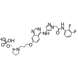 O=C(Cn1cc(Nc2ncnc3cc(OCCCN4CCC[C@@H]4COP(=O)(O)O)ccc23)cn1)Nc1cccc(F)c1F